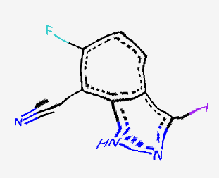 N#Cc1c(F)ccc2c(I)n[nH]c12